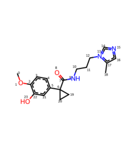 COc1ccc(C2(C(=O)NCCCn3cncc3C)CC2)cc1O